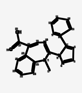 CN1C(n2nccc2-c2ccccc2)=NC=C(C(=O)O)c2ccccc21